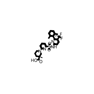 Cc1cccc(C)c1-c1nc(NS(=O)(=O)c2cccc(N3CCC[C@@](C)(C(=O)O)C3)n2)ccc1C(F)(F)F